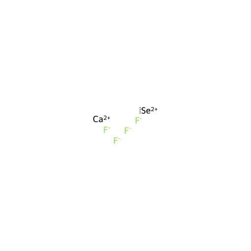 [Ca+2].[F-].[F-].[F-].[F-].[Se+2]